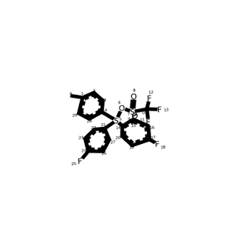 Cc1ccc(S(OS(=O)(=O)C(F)(F)F)(c2ccc(F)cc2)c2ccc(F)cc2)cc1